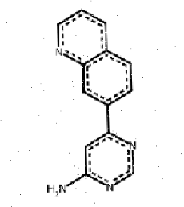 Nc1cc(-c2ccc3cccnc3c2)ncn1